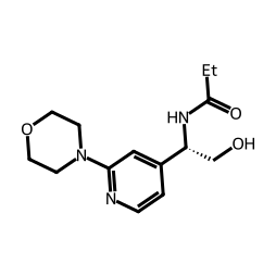 CCC(=O)N[C@H](CO)c1ccnc(N2CCOCC2)c1